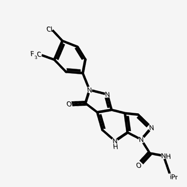 CC(C)NC(=O)n1ncc2c3nn(-c4ccc(Cl)c(C(F)(F)F)c4)c(=O)c-3c[nH]c21